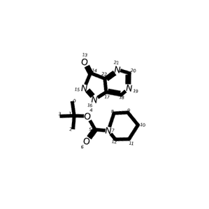 CC(C)(C)OC(=O)N1CCCCC1.O=C1N=Nc2cncnc21